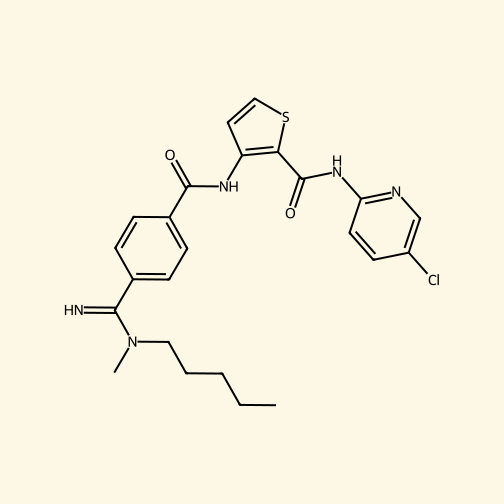 CCCCCN(C)C(=N)c1ccc(C(=O)Nc2ccsc2C(=O)Nc2ccc(Cl)cn2)cc1